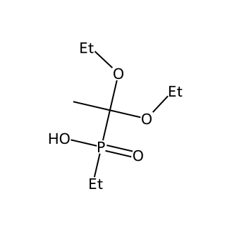 CCOC(C)(OCC)P(=O)(O)CC